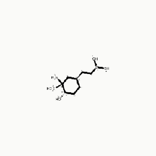 N[C@]1(C(=O)O)C[C@@H](CCB(O)O)CC[C@@H]1O